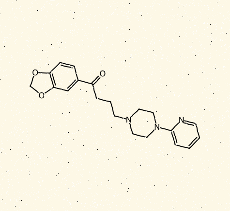 O=C(CCCN1CCN(c2ccccn2)CC1)c1ccc2c(c1)OCO2